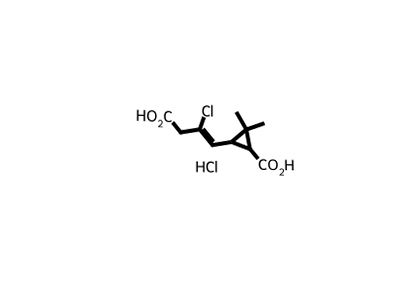 CC1(C)C(C=C(Cl)CC(=O)O)C1C(=O)O.Cl